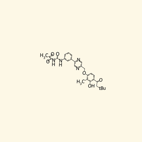 Cc1c(OCc2cnc(-c3cccc(NC(=O)NS(C)(=O)=O)c3)cn2)ccc(C(=O)CC(C)(C)C)c1O